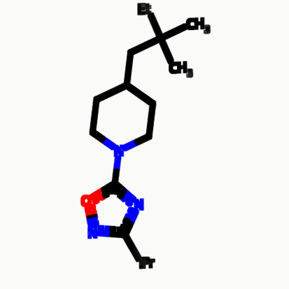 CCC(C)(C)CC1CCN(c2nc(C(C)C)no2)CC1